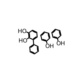 Oc1cccc(-c2ccccc2)c1O.Oc1ccccc1.Oc1ccccc1